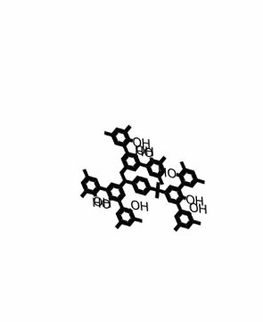 Cc1cc(C)c(O)c(-c2cc(CC(c3ccc(C(C)(C)c4cc(-c5cc(C)cc(C)c5O)c(O)c(-c5cc(C)cc(C)c5O)c4)cc3)c3cc(-c4cc(C)cc(C)c4O)c(O)c(-c4cc(C)cc(C)c4O)c3)cc(-c3cc(C)cc(C)c3O)c2O)c1